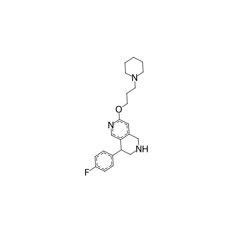 Fc1ccc(C2CNCc3cc(OCCCN4CCCCC4)ncc32)cc1